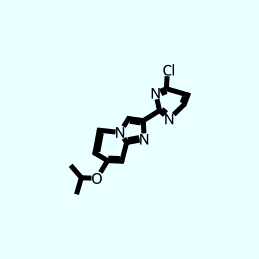 CC(C)Oc1ccn2cc(-c3nccc(Cl)n3)nc2c1